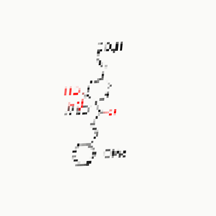 COc1ccccc1/C=C/C(=O)C1(OC)C=CC(/C=C/C(=O)O)=CC1(O)O